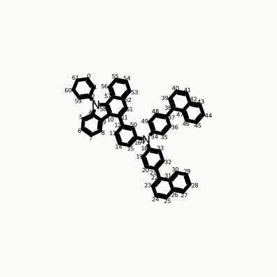 C1=CC(n2c3ccccc3c3c(-c4cccc(N(c5ccc(-c6cccc7ccccc67)cc5)c5ccc(-c6cccc7ccccc67)cc5)c4)cc4ccccc4c32)=CCC1